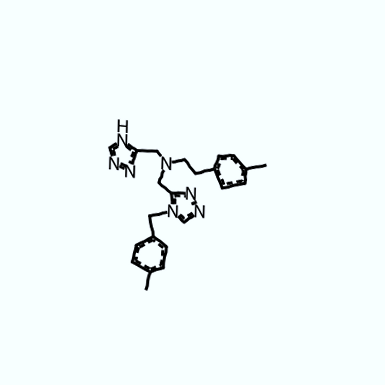 Cc1ccc(CCN(Cc2nnc[nH]2)Cc2nncn2Cc2ccc(C)cc2)cc1